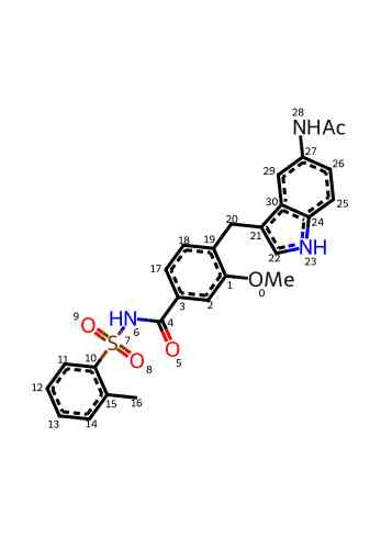 COc1cc(C(=O)NS(=O)(=O)c2ccccc2C)ccc1Cc1c[nH]c2ccc(NC(C)=O)cc12